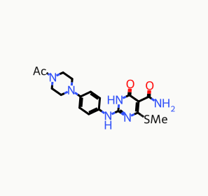 CSc1nc(Nc2ccc(N3CCN(C(C)=O)CC3)cc2)[nH]c(=O)c1C(N)=O